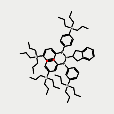 CCC[Si](CCC)(CCC)c1ccc(P(c2ccc([Si](CCC)(CCC)CCC)cc2)N(C2Cc3ccccc3C2)P(c2cccc([Si](CCC)(CCC)CCC)c2)c2cccc([Si](CCC)(CCC)CCC)c2)cc1